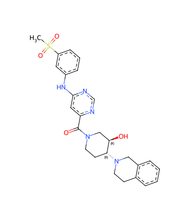 CS(=O)(=O)c1cccc(Nc2cc(C(=O)N3CC[C@@H](N4CCc5ccccc5C4)[C@H](O)C3)ncn2)c1